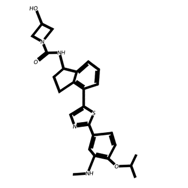 CNc1cc(-c2ncc(-c3cccc4c3CCC4NC(=O)N3CC(O)C3)s2)ccc1OC(C)C